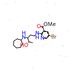 COC(=O)c1cc(Br)cnc1NCCC(NC1CCCCCC1)C(C)O